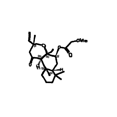 C=C[C@@]1(C)CC(=O)[C@@H]2[C@@]3(C)CCCC(C)(C)[C@@H]3C[C@H](OC(=O)COC)[C@@]2(C)O1